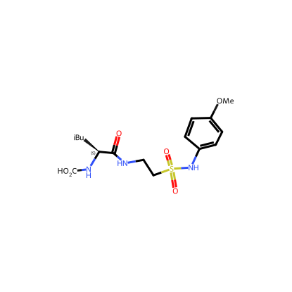 CCC(C)[C@H](NC(=O)O)C(=O)NCCS(=O)(=O)Nc1ccc(OC)cc1